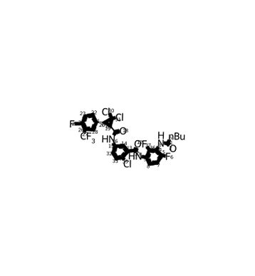 CCCCC(=O)Nc1c(F)ccc(NC(=O)c2cc(NC(=O)[C@H]3[C@H](c4ccc(F)c(C(F)(F)F)c4)C3(Cl)Cl)ccc2Cl)c1F